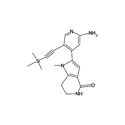 Cn1c(-c2cc(N)ncc2C#C[Si](C)(C)C)cc2c1CCNC2=O